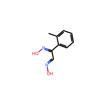 Cc1ccccc1C(C=NO)=NO